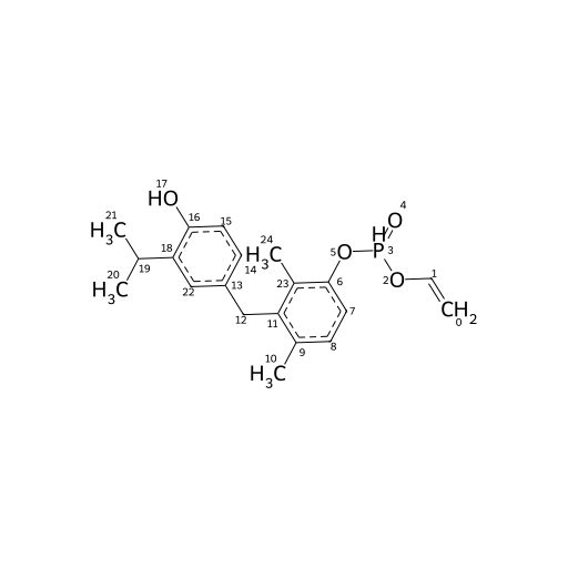 C=CO[PH](=O)Oc1ccc(C)c(Cc2ccc(O)c(C(C)C)c2)c1C